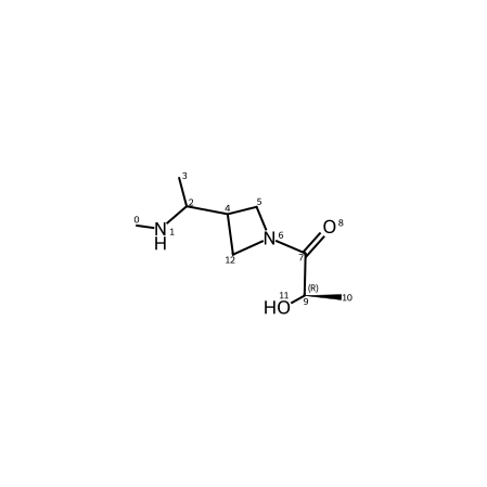 CNC(C)C1CN(C(=O)[C@@H](C)O)C1